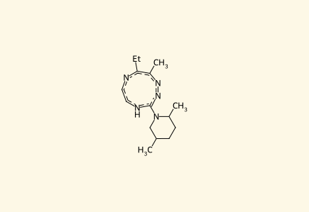 CCc1ncc[nH]c(N2CC(C)CCC2C)nnc1C